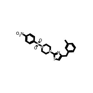 Cc1cccc(Cc2csc(N3CCN(S(=O)(=O)c4ccc([N+](=O)[O-])cc4)CC3)n2)c1